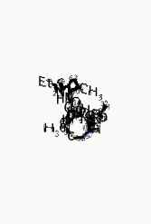 CCc1cnc(-c2ccc(C)cc2NC(=O)O[C@@H]2C[C@H]3C(=O)N[C@]4(C(=O)NS(=O)(=O)C5CC5)C[C@H]4/C=C\CCCCN(C)C(=O)[C@@H]3C2)s1